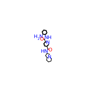 Nc1ccccc1NC(=O)c1ccc(C(=O)NC2CC3CCCCN3C2)cn1